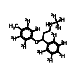 [2H]c1c([2H])c([2H])c(C(CCNC([2H])([2H])[2H])Oc2c([2H])c([2H])c(C)c([2H])c2[2H])c([2H])c1[2H]